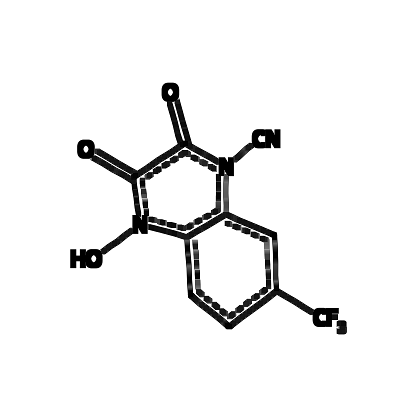 N#Cn1c(=O)c(=O)n(O)c2ccc(C(F)(F)F)cc21